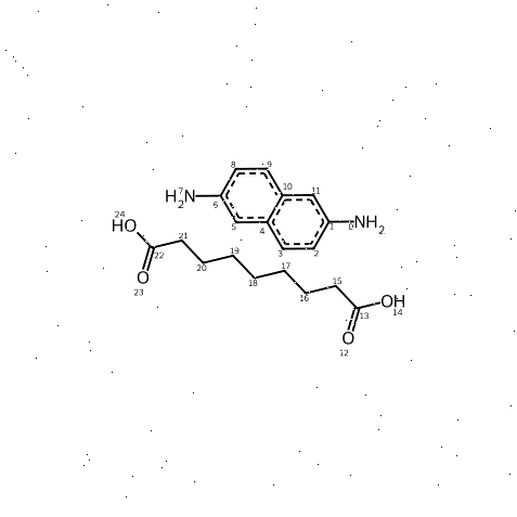 Nc1ccc2cc(N)ccc2c1.O=C(O)CCCCCCCC(=O)O